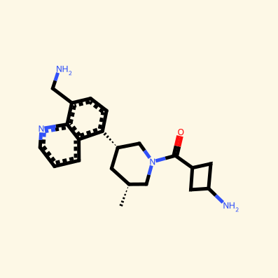 C[C@@H]1C[C@H](c2ccc(CN)c3ncccc23)CN(C(=O)C2CC(N)C2)C1